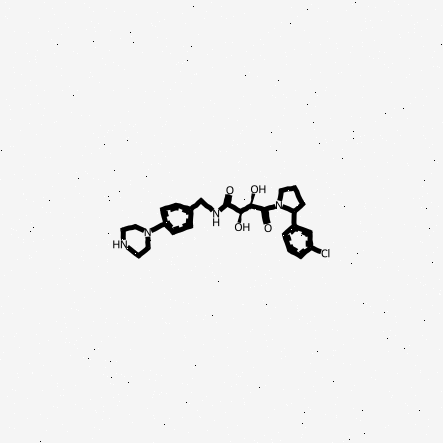 O=C(NCc1ccc(N2CCNCC2)cc1)[C@H](O)[C@@H](O)C(=O)N1CCCC1c1cccc(Cl)c1